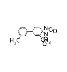 CC1=CC(c2cccc(C)c2)C=CC1(N=C=O)N=C=O